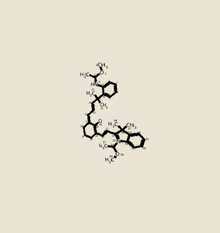 COC(C)Nc1ccccc1C(C)(C)C=CC=C1CCCC(C=CC2=[N+](C(C)OC)c3ccccc3C2(C)C)=C1Cl